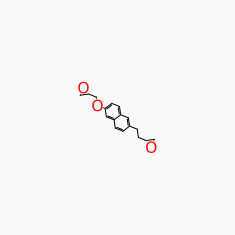 c1cc2cc(OCC3CO3)ccc2cc1CCC1CO1